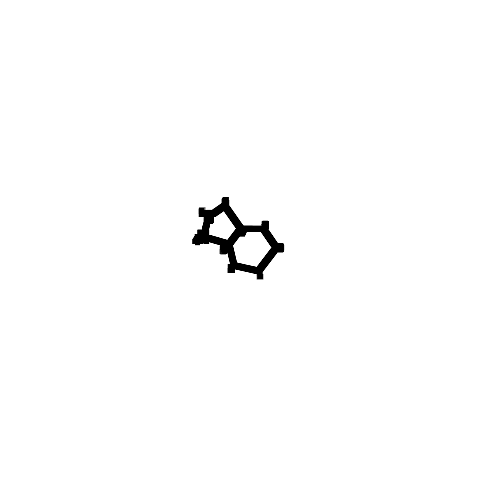 C1CCC2[N]SCC2C1